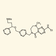 CCNc1ncc2c(n1)N(C)CCN(Cc1ccc(COC(CCNC)c3ccccc3)cc1)C2=O